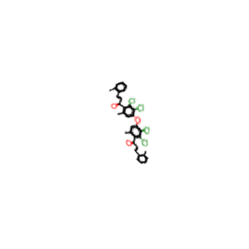 Cc1ccccc1C=CC(=O)c1c(C)cc(Oc2cc(C)c(C(=O)C=Cc3ccccc3C)c(Cl)c2Cl)c(Cl)c1Cl